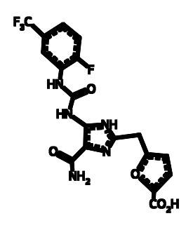 NC(=O)c1nc(Cc2ccc(C(=O)O)o2)[nH]c1NC(=O)Nc1cc(C(F)(F)F)ccc1F